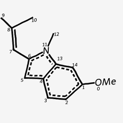 COc1ccc2cc(C=C(C)C)n(C)c2c1